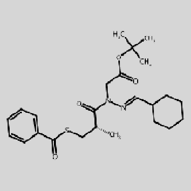 C[C@H](CSC(=O)c1ccccc1)C(=O)N(CC(=O)OC(C)(C)C)N=CC1CCCCC1